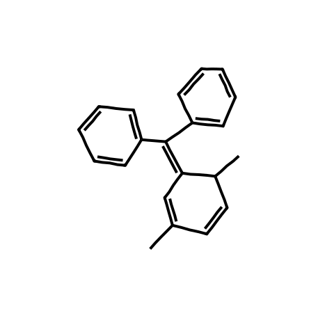 CC1=CC(=C(c2ccccc2)c2ccccc2)C(C)C=C1